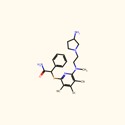 CCc1c(C#N)c(SC(C(N)=O)c2ccccc2)nc(N(C)CCN2CCC(N)C2)c1C#N